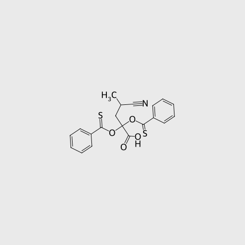 CC(C#N)CC(OC(=S)c1ccccc1)(OC(=S)c1ccccc1)C(=O)O